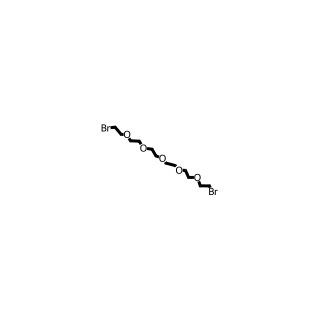 BrCCOCCOCCOCCOCCOCCBr